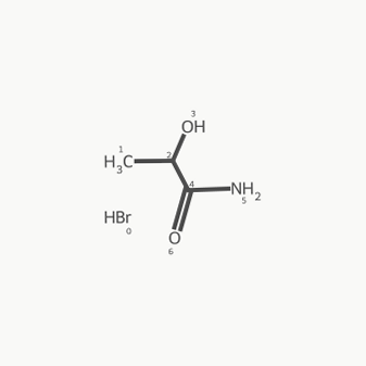 Br.CC(O)C(N)=O